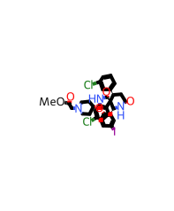 COC(=O)CN1CCC(Oc2ccc(I)cc2[C@H]2NC(=O)C[C@@H](c3cccc(Cl)c3)[C@]23C(=O)Nc2cc(Cl)ccc23)CC1